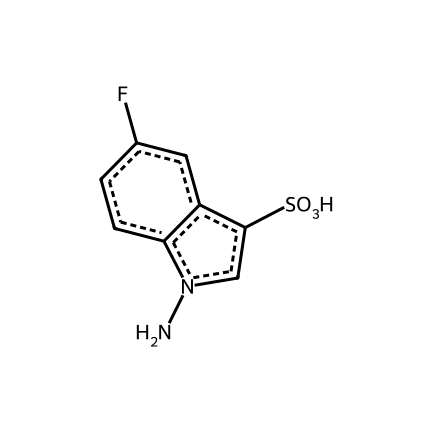 Nn1cc(S(=O)(=O)O)c2cc(F)ccc21